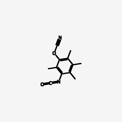 Cc1c(C)c(N=C=O)c(C)c(OC#N)c1C